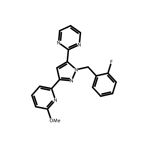 COc1cccc(-c2cc(-c3ncccn3)n(Cc3ccccc3F)n2)n1